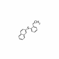 C=Cc1ccccc1Sc1ccc2ccccc2c1